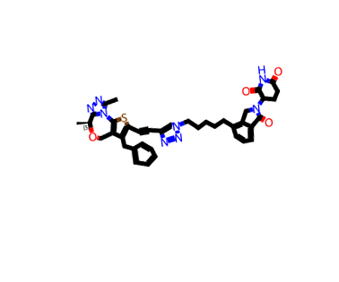 Cc1nnc2n1-c1sc(C#Cc3cn(CCCCCc4cccc5c4CN(C4CCC(=O)NC4=O)C5=O)nn3)c(Cc3ccccc3)c1CO[C@H]2C